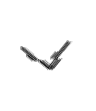 Br.Br.Br.Br.Br.Br.Br.Br.Br.Br.[Br-].[Br-].[Br-].[Br-].[Br-].[Br-].[Br-].[Br-].[Br-].[Br-].[Br-].[Br-].[Br-].[Br-].[Br-].[Na+].[Na+].[Na+].[Na+].[Na+].[Na+].[Na+].[Na+].[Na+].[Na+].[Na+].[Na+].[Na+].[Na+].[Na+]